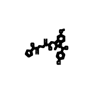 COc1ccc2c(c1)c(CC(=O)NCCNC(=O)C1=CC=CC1)c(C)n2C(=O)c1ccc(Cl)cc1